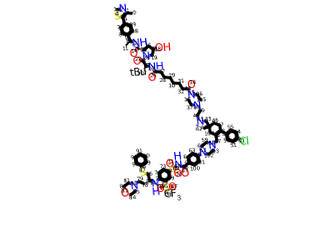 Cc1ncsc1-c1ccc([C@H](C)NC(=O)[C@@H]2C[C@@H](O)CN2C(=O)[C@@H](NC(=O)CCCCCCC(=O)N2CCN(CCN(C)CC3(C)CCC(c4ccc(Cl)cc4)=C(CN4CCN(c5ccc(C(=O)NS(=O)(=O)c6ccc(N[C@H](CCN7CCOCC7)CSc7ccccc7)c(S(=O)(=O)C(F)(F)F)c6)cc5)CC4)C3)CC2)C(C)(C)C)cc1